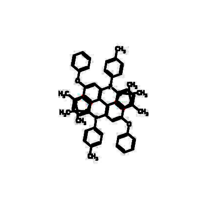 Cc1ccc(P(c2ccc(C)cc2)c2cc(Oc3ccccc3)c3c(c2-c2c(P(c4ccc(C)cc4)c4ccc(C)cc4)cc(Oc4ccccc4)c4c2OC(C)(C)O4)OC(C)(C)O3)cc1